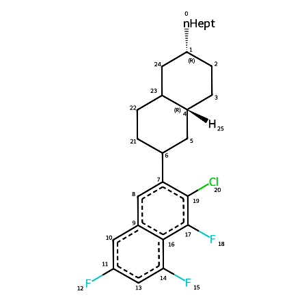 CCCCCCC[C@@H]1CC[C@@H]2CC(c3cc4cc(F)cc(F)c4c(F)c3Cl)CCC2C1